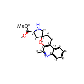 COC(=O)[C@@H]1C[C@]2(CCc3c(c(C)nc4ccccc34)O2)CN1